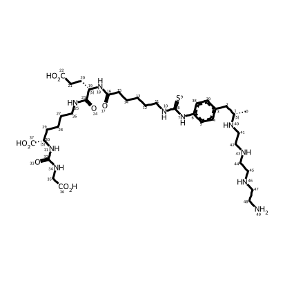 C[C@@H](Cc1ccc(NC(=S)NCCCCCC(=O)N[C@@H](CCC(=O)O)C(=O)NCCCC[C@H](NC(=O)NCC(=O)O)C(=O)O)cc1)NCCNCCNCCN